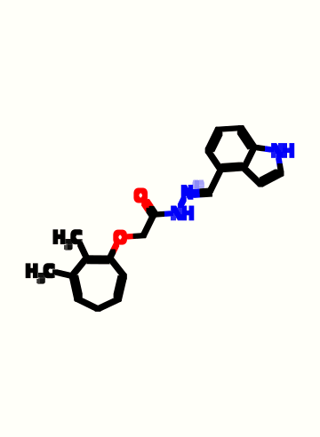 CC1=CCC=CC(OCC(=O)N/N=C/c2cccc3[nH]ccc23)=C1C